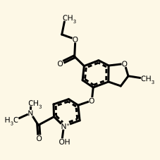 CCOC(=O)c1cc(Oc2ccc(C(=O)N(C)C)[n+](O)c2)c2c(c1)OC(C)C2